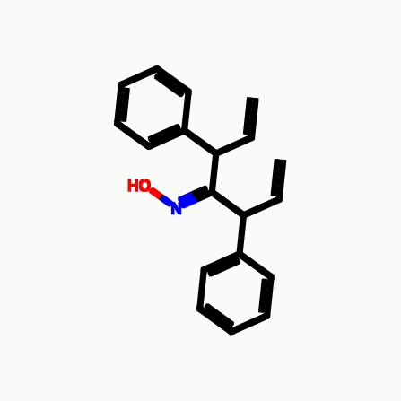 C=CC(C(=NO)C(C=C)c1ccccc1)c1ccccc1